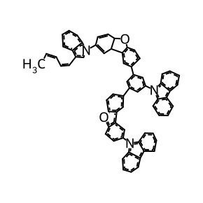 C/C=C\C=C/c1cn(C2=CC3c4cc(-c5cc(-c6ccc7oc8ccc(-n9c%10ccccc%10c%10ccccc%109)cc8c7c6)cc(-n6c7ccccc7c7ccccc76)c5)ccc4OC3C=C2)c2ccccc12